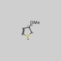 CO[C]1C=[C]SC1